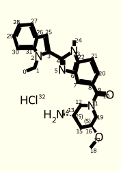 CCn1c(-c2nc3cc(C(=O)N4C[C@@H](N)C[C@H](OC)C4)ccc3n2C)cc2ccccc21.Cl